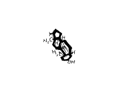 C[C@]12CC[C@@H](O)C[C@H]1CC[C@@H]1[C@@H]2CC[C@]2(C)[C@@H](I)CC[C@@H]12